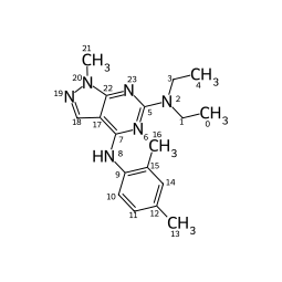 CCN(CC)c1nc(Nc2ccc(C)cc2C)c2cnn(C)c2n1